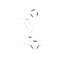 CO[C@]1(Cc2ccccc2)C[C@H]2CN(CC(=O)c3ccc(O)c(F)c3)C[C@H]2C1